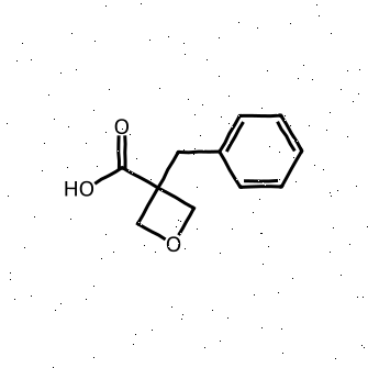 O=C(O)C1(Cc2ccccc2)COC1